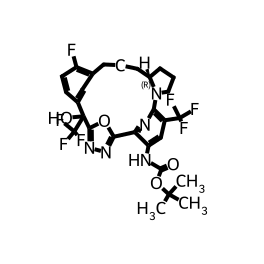 CC(C)(C)OC(=O)Nc1cc(C(F)(F)F)c2nc1-c1nnc(o1)C(O)(C(F)(F)F)c1ccc(F)c(c1)CCC[C@@H]1CCCN21